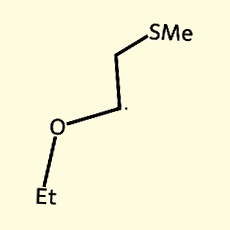 CCO[CH]CSC